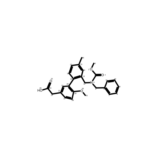 COC(=O)N(Cc1ccccc1)Cc1cc(C)ccc1-c1cc(CC(=O)O)ccc1OC